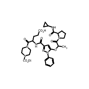 CCOC(=O)N1CCN(C(=O)C(CCC(=O)O)NC(=O)c2cc(OC(C)C(=O)N3CCCC3C(=O)NC3CC3)n(-c3ccccc3)n2)CC1